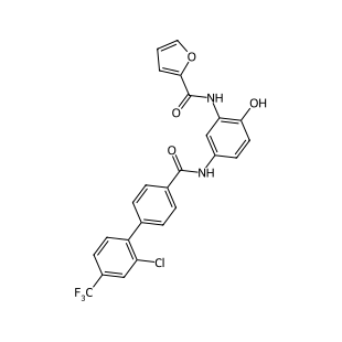 O=C(Nc1ccc(O)c(NC(=O)c2ccco2)c1)c1ccc(-c2ccc(C(F)(F)F)cc2Cl)cc1